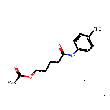 CNC(=O)OCCCCC(=O)Nc1ccc(C=O)cc1